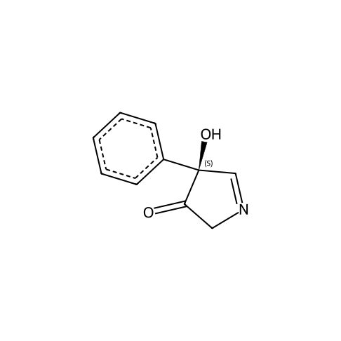 O=C1CN=C[C@@]1(O)c1ccccc1